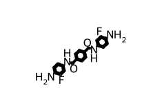 Nc1ccc(NC(=O)c2ccc(C(=O)Nc3ccc(N)c(F)c3)cc2)cc1F